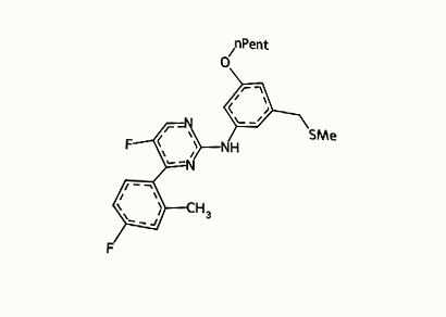 CCCCCOc1cc(CSC)cc(Nc2ncc(F)c(-c3ccc(F)cc3C)n2)c1